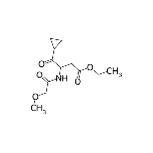 CCOC(=O)CC(NC(=O)COC)C(=O)C1CC1